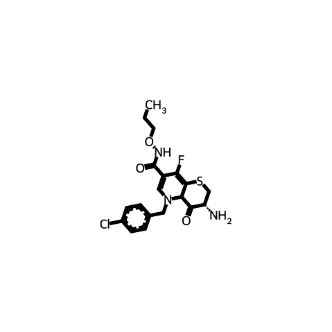 CCCONC(=O)C1=CN(Cc2ccc(Cl)cc2)C2C(=O)[C@@H](N)CSC2=C1F